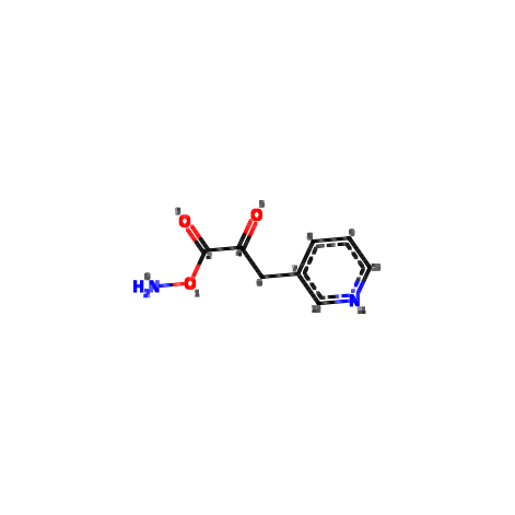 NOC(=O)C(=O)Cc1cccnc1